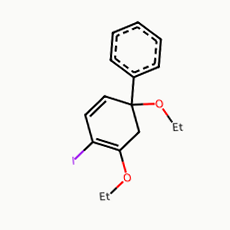 CCOC1=C(I)C=CC(OCC)(c2ccccc2)C1